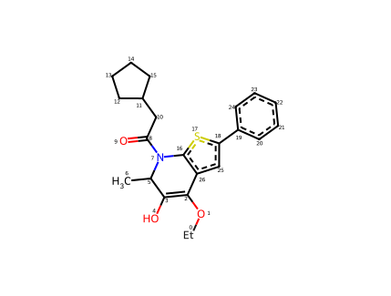 CCOC1=C(O)C(C)N(C(=O)CC2CCCC2)c2sc(-c3ccccc3)cc21